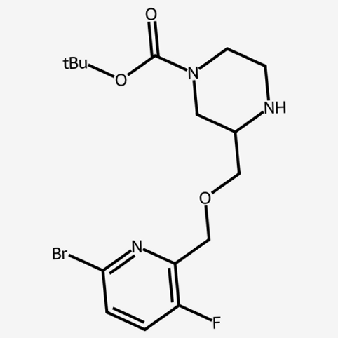 CC(C)(C)OC(=O)N1CCNC(COCc2nc(Br)ccc2F)C1